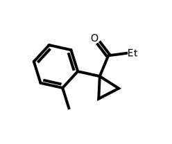 CCC(=O)C1(c2ccccc2C)CC1